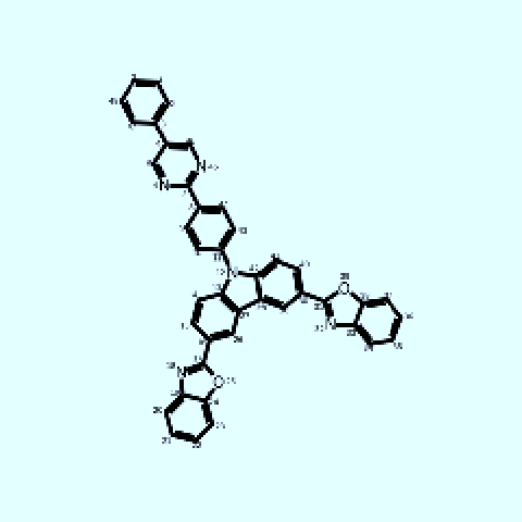 c1ccc(-c2cnc(-c3ccc(-n4c5ccc(-c6nc7ccccc7o6)cc5c5cc(-c6nc7ccccc7o6)ccc54)cc3)nc2)cc1